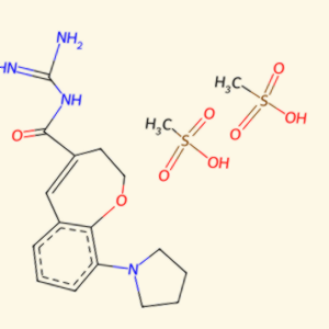 CS(=O)(=O)O.CS(=O)(=O)O.N=C(N)NC(=O)C1=Cc2cccc(N3CCCC3)c2OCC1